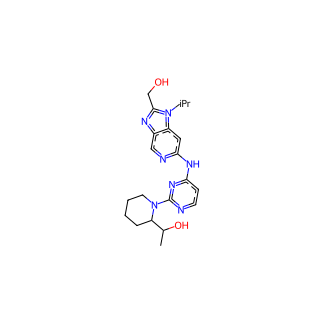 CC(O)C1CCCCN1c1nccc(Nc2cc3c(cn2)nc(CO)n3C(C)C)n1